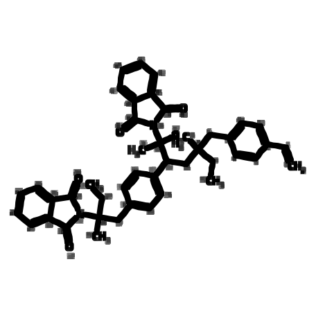 C=Cc1ccc(CC(C)(CC)CC(c2ccc(CC(C)(CC)N3C(=O)c4ccccc4C3=O)cc2)C(C)(C)N2C(=O)c3ccccc3C2=O)cc1